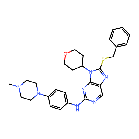 CN1CCN(c2ccc(Nc3ncc4nc(SCc5ccccc5)n(C5CCOCC5)c4n3)cc2)CC1